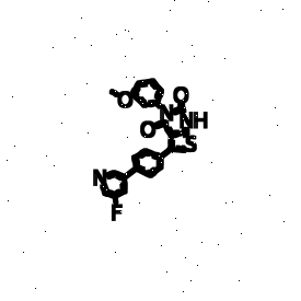 COc1cccc(-n2c(=O)[nH]c3scc(-c4ccc(-c5cncc(F)c5)cc4)c3c2=O)c1